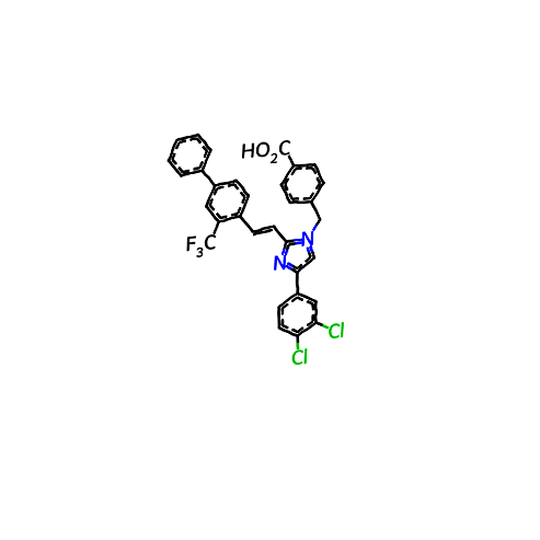 O=C(O)c1ccc(Cn2cc(-c3ccc(Cl)c(Cl)c3)nc2C=Cc2ccc(-c3ccccc3)cc2C(F)(F)F)cc1